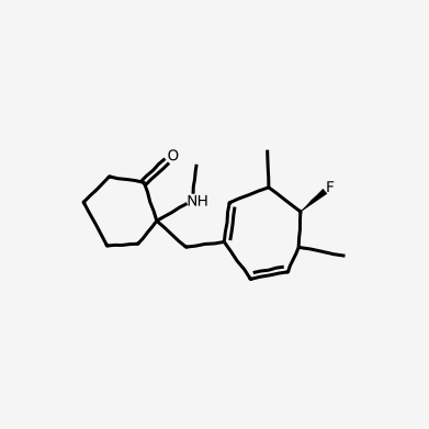 CNC1(CC2=CC(C)[C@@H](F)C(C)C=C2)CCCCC1=O